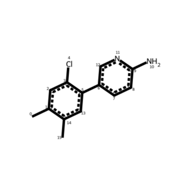 Cc1cc(Cl)c(-c2ccc(N)nc2)cc1C